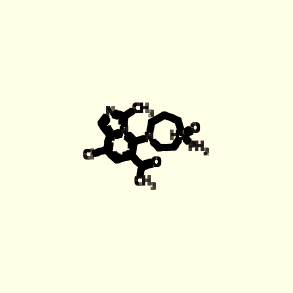 CC(=O)c1cc(Cl)c2cnc(C)n2c1N1CCC[SH](=O)(P)CC1